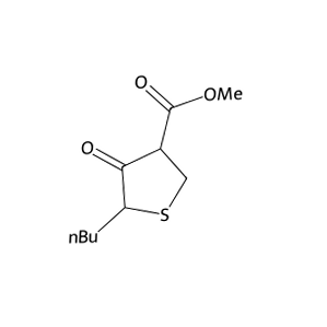 CCCCC1SCC(C(=O)OC)C1=O